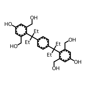 CCC(CC)(c1ccc(C(CC)(CC)c2c(CO)cc(O)cc2CO)cc1)c1c(CO)cc(O)cc1CO